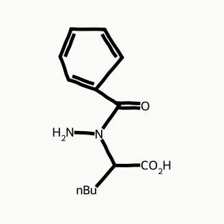 CCCCC(C(=O)O)N(N)C(=O)c1ccccc1